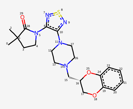 CC1(C)CCN(c2nsnc2N2CCN(C[C@H]3COc4ccccc4O3)CC2)C1=O